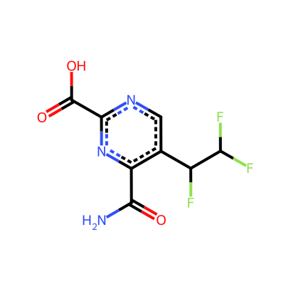 NC(=O)c1nc(C(=O)O)ncc1C(F)C(F)F